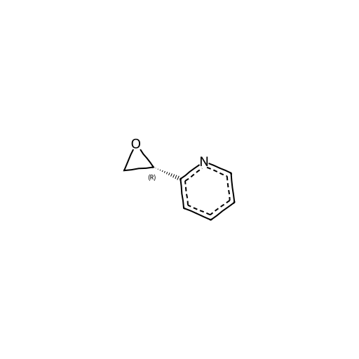 c1ccc([C@@H]2CO2)nc1